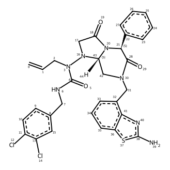 C=CCN(C(=O)NCc1ccc(Cl)c(Cl)c1)N1CC(=O)N2[C@@H](c3ccccc3)C(=O)N(Cc3cccc4sc(N)nc34)C[C@@H]21